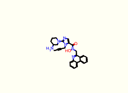 CC#CCn1c(C(=O)N(O)Cc2nc3ccccc3c3ccccc23)cnc1N1CCCC(N)C1